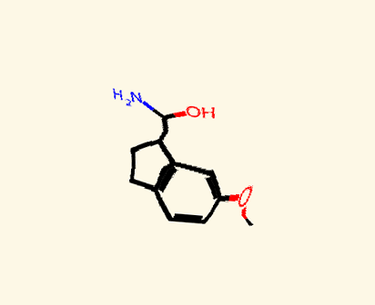 COc1ccc2c(c1)C(C(N)O)CC2